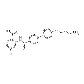 CCCCCc1ccc(-c2ccc(C(=O)Nc3cc(Cl)ccc3C(=O)O)cc2)nc1